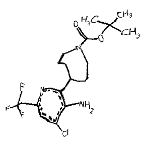 CC(C)(C)OC(=O)N1CCC(c2nc(C(F)(F)F)cc(Cl)c2N)CC1